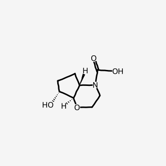 O=C(O)N1CCO[C@H]2[C@H](O)CC[C@@H]21